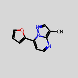 N#Cc1cnn2c(-c3ccco3)ccnc12